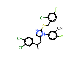 CC(Cc1cnc(SCc2ccc(F)cc2Cl)n1-c1ccc(F)c(C#N)c1)c1ccc(Cl)c(Cl)c1